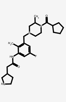 Cc1c(CN2CCN(C(=O)C3CCCC3)C(C)C2)cc(F)cc1NC(=O)CC1CCNC1